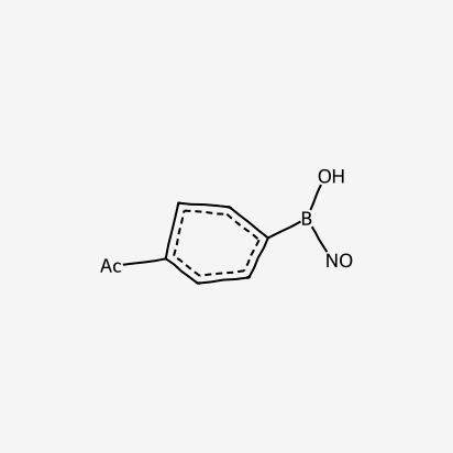 CC(=O)c1ccc(B(O)N=O)cc1